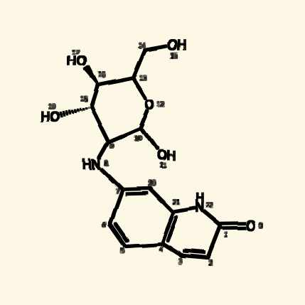 O=c1ccc2ccc(NC3C(O)OC(CO)[C@H](O)[C@H]3O)cc2[nH]1